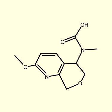 COc1ccc2c(n1)COCC2N(C)C(=O)O